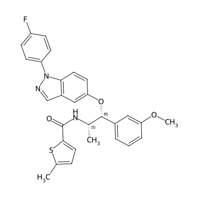 COc1cccc([C@@H](Oc2ccc3c(cnn3-c3ccc(F)cc3)c2)[C@H](C)NC(=O)c2ccc(C)s2)c1